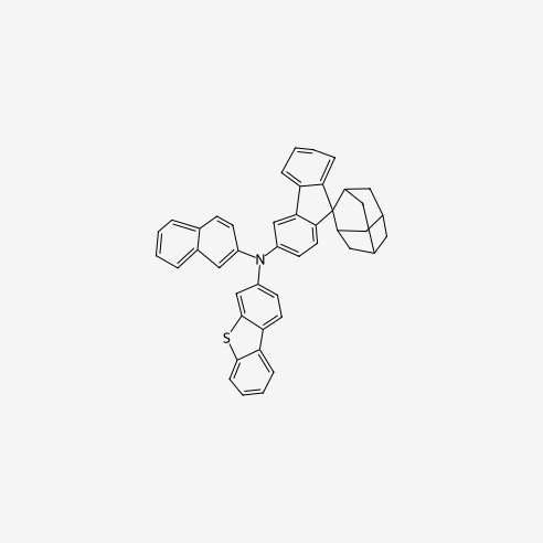 c1ccc2c(c1)-c1cc(N(c3ccc4ccccc4c3)c3ccc4c(c3)sc3ccccc34)ccc1C21C2CC3CC(C2)CC1C3